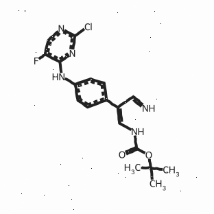 CC(C)(C)OC(=O)N/C=C(\C=N)c1ccc(Nc2nc(Cl)ncc2F)cc1